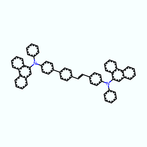 C(=C\c1ccc(N(c2ccccc2)c2cc3ccccc3c3ccccc23)cc1)/c1ccc(-c2ccc(N(c3ccccc3)c3cc4ccccc4c4ccccc34)cc2)cc1